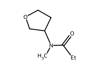 CCC(=O)N(C)C1CCOC1